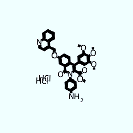 COC(=O)c1c(-c2cc(OC)c(OC)c(OC)c2)c2ccc(OCc3ccnc4ccccc34)cc2c(=O)n1-c1ccc(N)cc1.Cl.Cl